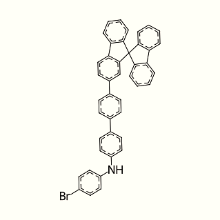 Brc1ccc(Nc2ccc(-c3ccc(-c4ccc5c(c4)C4(c6ccccc6-c6ccccc64)c4ccccc4-5)cc3)cc2)cc1